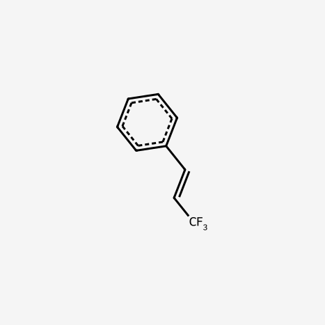 FC(F)(F)C=Cc1ccccc1